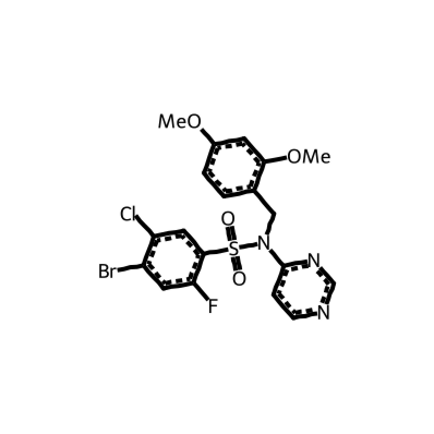 COc1ccc(CN(c2ccncn2)S(=O)(=O)c2cc(Cl)c(Br)cc2F)c(OC)c1